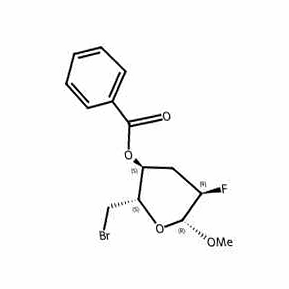 CO[C@@H]1O[C@H](CBr)[C@@H](OC(=O)c2ccccc2)C[C@H]1F